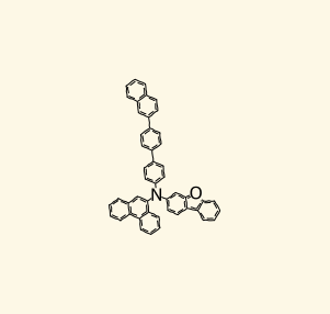 c1ccc2cc(-c3ccc(-c4ccc(N(c5ccc6c(c5)oc5ccccc56)c5cc6ccccc6c6ccccc56)cc4)cc3)ccc2c1